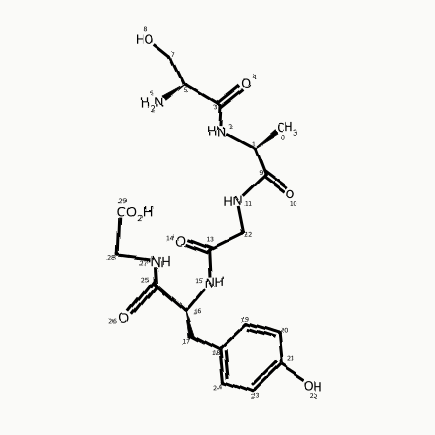 C[C@H](NC(=O)[C@@H](N)CO)C(=O)NCC(=O)N[C@@H](Cc1ccc(O)cc1)C(=O)NCC(=O)O